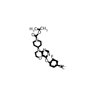 [C-]#[N+]c1ccc(Oc2ncnc3c2OCCN3C2CCN(C(=O)OC(C)C)CC2)c(F)c1